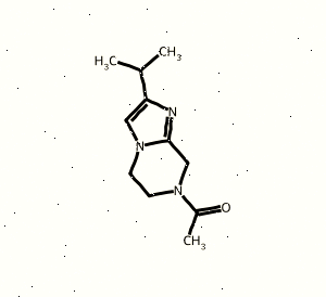 CC(=O)N1CCn2cc(C(C)C)nc2C1